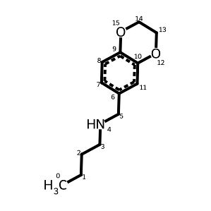 CCCCNCc1ccc2c(c1)OCCO2